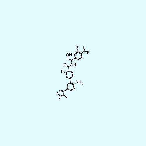 Cc1c(-c2cnc(N)c(-c3ccc(C(=O)NC(CO)c4ccc(C(F)F)c(F)c4)c(F)c3)c2)cnn1C